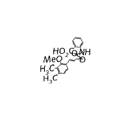 COc1c(/C=C/S(=O)(=O)Nc2ccccc2C(=O)O)ccc(C)c1C